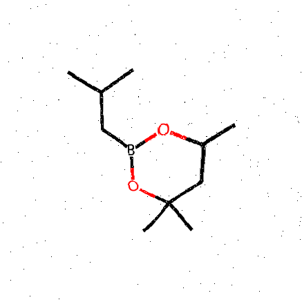 CC(C)CB1OC(C)CC(C)(C)O1